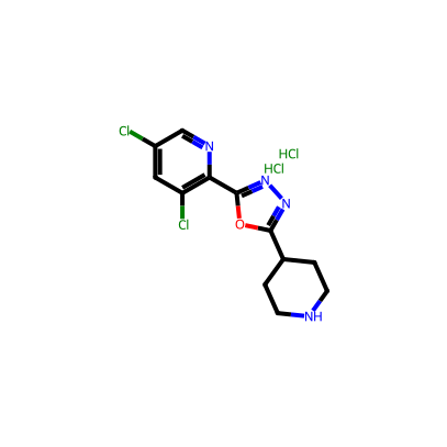 Cl.Cl.Clc1cnc(-c2nnc(C3CCNCC3)o2)c(Cl)c1